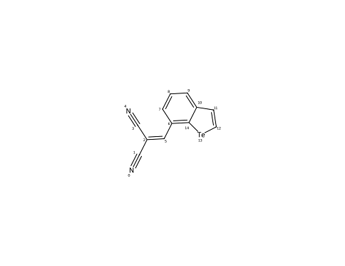 N#CC(C#N)=Cc1cccc2cc[te]c12